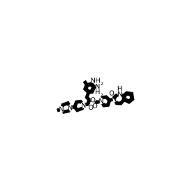 Cc1cc(CC(OC(=O)N2CCC(N3CCc4ccccc4NC3=O)CC2)C(=O)N2CCC(N3CCN(C)CC3)CC2)cc(N)c1N